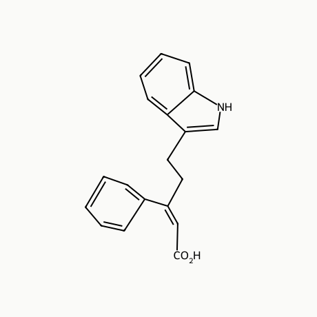 O=C(O)/C=C(/CCc1c[nH]c2ccccc12)c1ccccc1